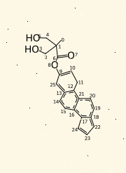 CC(CO)(CO)C(=O)OC1=CCc2c(ccc3c4c(ccc23)=CC=C4)=C1